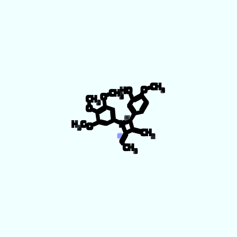 C=C1/C(=C\C)N(c2cc(OC)c(OC)c(OC)c2)[C@H]1c1ccc(OC)c(O)c1